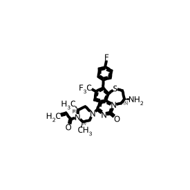 C=CC(=O)N1[C@H](C)CN(c2nc(=O)n3c4c(c(-c5ccc(F)cc5)c(C(F)(F)F)cc24)SC[C@@H](N)C3)C[C@@H]1C